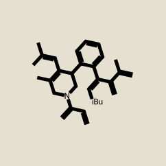 C=CC(=C)N1CC(C)=C(C=C(C)C)C(c2ccccc2/C(=C/C(C)CC)C(=C)C(=C)C)C1